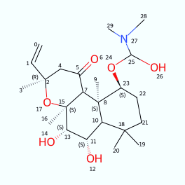 C=C[C@@]1(C)CC(=O)C2[C@]3(C)C([C@H](O)[C@H](O)[C@@]2(C)O1)C(C)(C)CC[C@@H]3OC(O)N(C)C